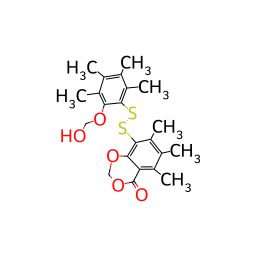 Cc1c(C)c(C)c(SSc2c(C)c(C)c(C)c3c2OCOC3=O)c(OCO)c1C